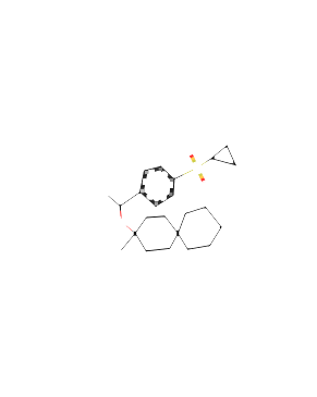 CC1(OC(C(=O)O)c2ccc(S(=O)(=O)C3CC3)cc2)CCC2(CCCCC2)CC1